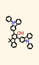 CC1(C)c2ccccc2-c2c1cc(-c1ccc3c(c1)c1ccccc1n3-c1ccccc1)c(O)c2-c1ccc2c(c1)c1ccccc1n2-c1ccccc1